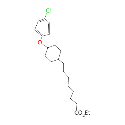 CCOC(=O)CCCCCCCC1CCC(Oc2ccc(Cl)cc2)CC1